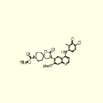 COc1cc2ncnc(Nc3ccc(Cl)c(Cl)c3C)c2cc1N1CC2(CCN(C(=O)OC(C)(C)C)CC2)OC1=O